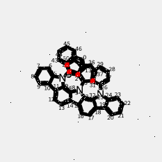 c1ccc(-n2c3ccccc3c3ccc4c5ccc6c7ccccc7n(-c7ccccc7)c6c5n(-c5cccc6c5sc5ccccc56)c4c32)cc1